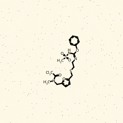 CN(Cc1ccc(CSCCN=C(NS(C)(=O)=O)Oc2ccccc2)o1)C(=O)C(Cl)(Cl)Cl